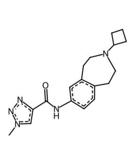 Cn1cc(C(=O)Nc2ccc3c(c2)CCN(C2CCC2)CC3)nn1